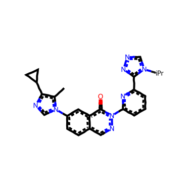 Cc1c(C2CC2)ncn1-c1ccc2cnn(-c3cccc(-c4nncn4C(C)C)n3)c(=O)c2c1